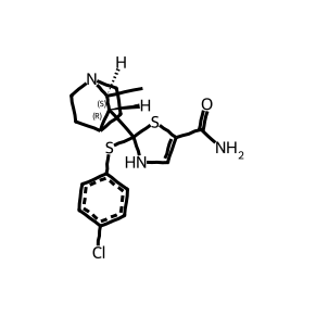 C[C@H]1[C@H](C2(Sc3ccc(Cl)cc3)NC=C(C(N)=O)S2)C2CCN1CC2